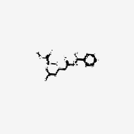 COC(=O)NC[C@H](CC(=O)N[C@@H](C)c1ccccc1)CC(C)C